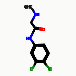 O=CNCC(=O)Nc1ccc(Cl)c(Cl)c1